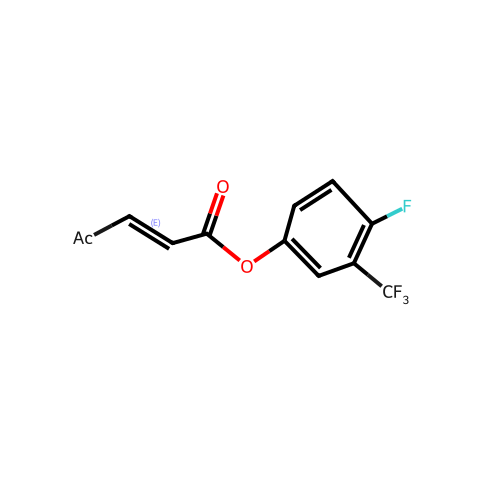 CC(=O)/C=C/C(=O)Oc1ccc(F)c(C(F)(F)F)c1